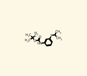 CC(C)Sc1cccc(NC(=O)OC(C)(C)C)c1